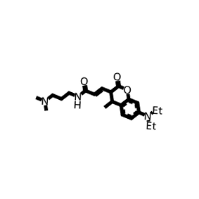 CCN(CC)c1ccc2c(c1)OC(=O)C(C=CC(=O)NCCCN(C)C)C2C